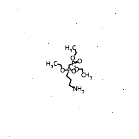 CCOP(=O)(CCCN)CP(=O)(OCC)OCC